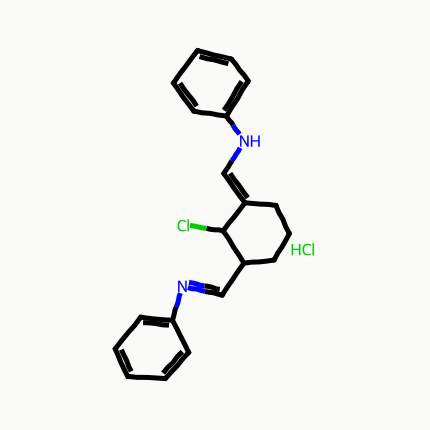 Cl.ClC1C(=CNc2ccccc2)CCCC1C=Nc1ccccc1